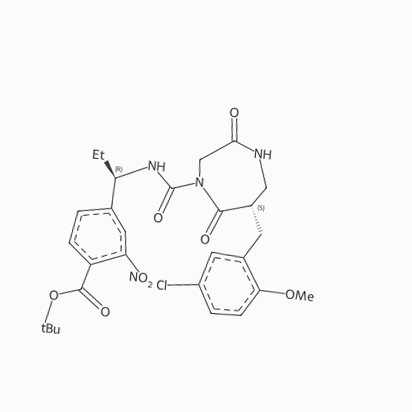 CC[C@@H](NC(=O)N1CC(=O)NC[C@H](Cc2cc(Cl)ccc2OC)C1=O)c1ccc(C(=O)OC(C)(C)C)c([N+](=O)[O-])c1